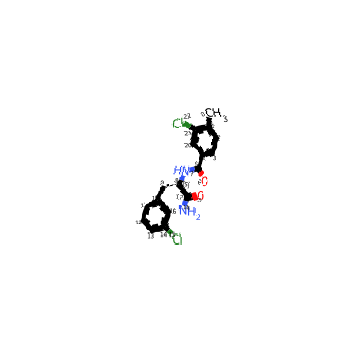 Cc1ccc(C(=O)N[C@@H](Cc2cccc(Cl)c2)C(N)=O)cc1Cl